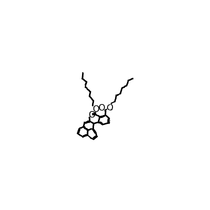 CCCCCCCCOC(=O)c1cccc(C2C(C)=Cc3cccc4cccc2c34)c1C(=O)OCCCCCCCC